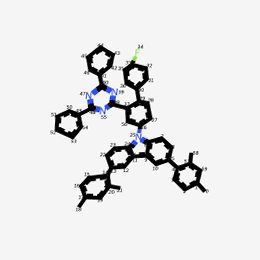 Cc1ccc(-c2ccc3c(c2)c2cc(-c4ccc(C)cc4C)ccc2n3-c2ccc(-c3ccc(F)cc3)c(-c3nc(-c4ccccc4)nc(-c4ccccc4)n3)c2)c(C)c1